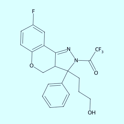 O=C(N1N=C2c3cc(F)ccc3OCC2C1(CCCO)c1ccccc1)C(F)(F)F